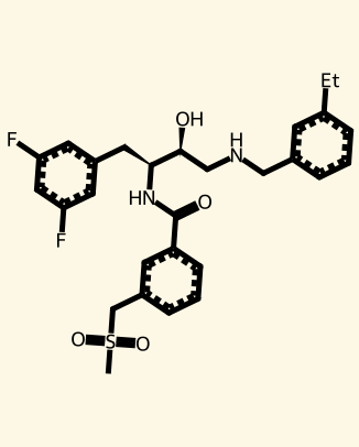 CCc1cccc(CNC[C@H](O)[C@H](Cc2cc(F)cc(F)c2)NC(=O)c2cccc(CS(C)(=O)=O)c2)c1